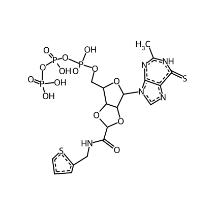 Cc1nc2c(ncn2C2OC(COP(=O)(O)OP(=O)(O)OP(=O)(O)O)C3OC(C(=O)NCc4cccs4)OC32)c(=S)[nH]1